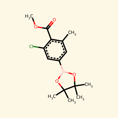 COC(=O)c1c(C)cc(B2OC(C)(C)C(C)(C)O2)cc1Cl